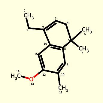 CCC1=CCC(C)(C)c2cc(C)c(OC)cc21